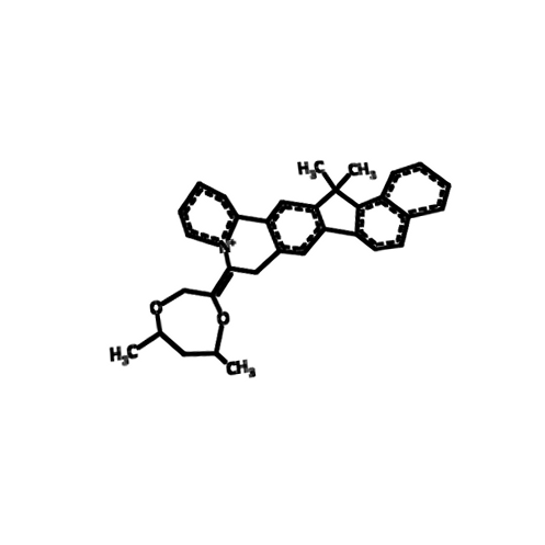 CC1CC(C)O/C(=C2\Cc3cc4c(cc3-c3cccc[n+]32)C(C)(C)c2c-4ccc3ccccc23)CO1